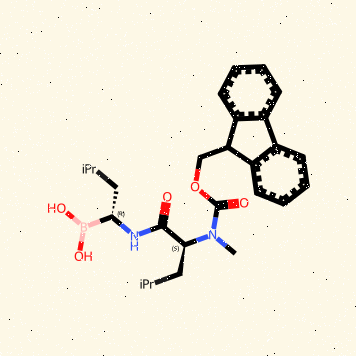 CC(C)C[C@H](NC(=O)[C@H](CC(C)C)N(C)C(=O)OCC1c2ccccc2-c2ccccc21)B(O)O